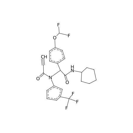 C#CC(=O)N(c1cccc(C(F)(F)F)c1)C(C(=O)NC1CCCCC1)c1ccc(OC(F)F)cc1